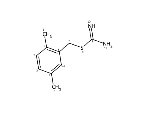 Cc1ccc(C)c(CSC(=N)N)c1